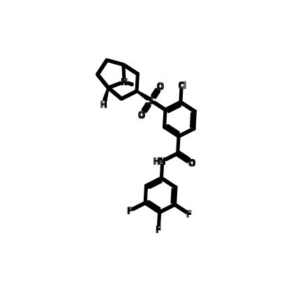 CN1C2CC[C@H]1C[C@H](S(=O)(=O)c1cc(C(=O)Nc3cc(F)c(F)c(F)c3)ccc1Cl)C2